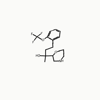 CC(O)(CCc1ccccc1OC(F)(F)F)C1CNCCO1